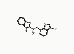 [O-][S+](Cc1nccc2c(Br)csc12)c1nc2ccccc2[nH]1